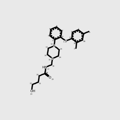 Cc1ccc(Sc2ccccc2N2CCN(CNC(=O)CCCO)CC2)c(C)c1